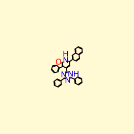 C1=C(C2=NC(c3ccccc3)=NC(c3ccccc3)N2)c2c(oc3ccccc23)NC1c1ccc2ccccc2c1